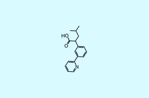 CC(C)CC(C(=O)O)c1cccc(-c2ccccn2)c1